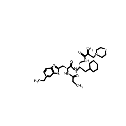 C=C(CN1CCSCC1)C(=O)NC[C@H](CC1CCCCC1)NC(=O)[C@H](Cc1nc2ccc(CC)cc2s1)NC(=O)CC